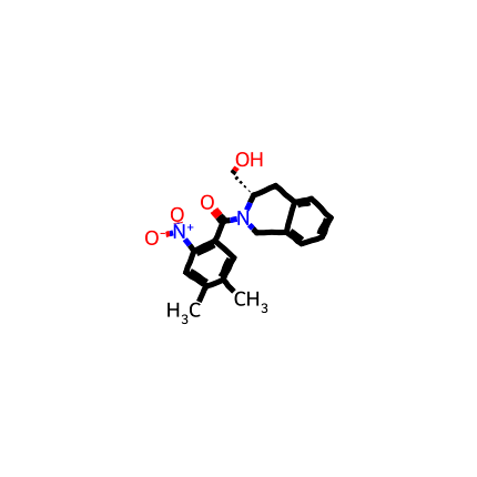 Cc1cc(C(=O)N2Cc3ccccc3C[C@H]2CO)c([N+](=O)[O-])cc1C